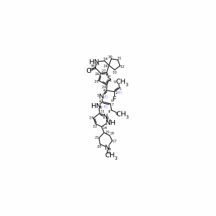 C\C=C(F)/C(=N\C(=C\CC)NC1=NNC(C2CCN(C)CC2)C=C1)c1cc2c(s1)C1(CCCC1)CNC2=O